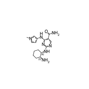 Cn1ccc(Nc2nc(N[C@@H]3CCCC[C@@H]3N)ncc2C(N)=O)c1